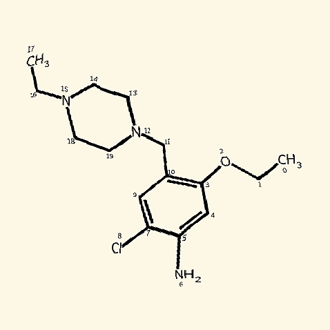 CCOc1cc(N)c(Cl)cc1CN1CCN(CC)CC1